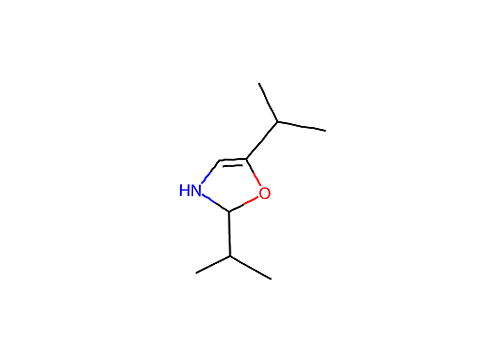 CC(C)C1=CNC(C(C)C)O1